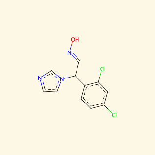 ON=CC(c1ccc(Cl)cc1Cl)n1ccnc1